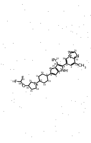 Cc1cc(-c2[nH]c3cc(C4CCC(N5CCC(OC(F)F)C5)CC4)sc3c2C(C)C)cn2ncnc12